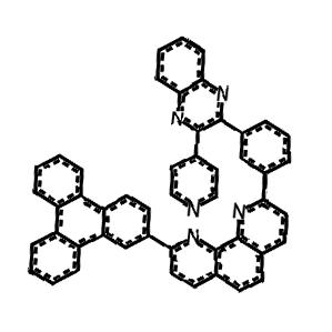 c1cc(-c2ccc3ccc4ccc(-c5ccc6c7ccccc7c7ccccc7c6c5)nc4c3n2)cc(-c2nc3ccccc3nc2-c2ccncc2)c1